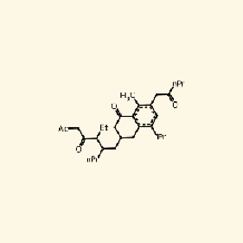 CCCC(=O)Cc1cc(C(C)C)c2c(c1C)C(=O)CC(CC(CCC)C(CC)C(=O)CC(C)=O)C2